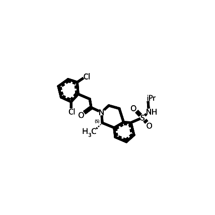 CC(C)NS(=O)(=O)c1cccc2c1CCN(C(=O)Cc1c(Cl)cccc1Cl)[C@H]2C